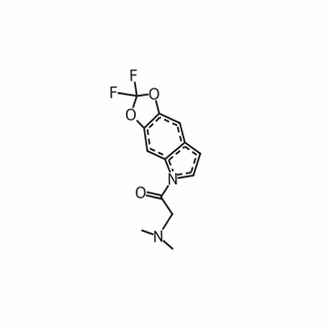 CN(C)CC(=O)n1ccc2cc3c(cc21)OC(F)(F)O3